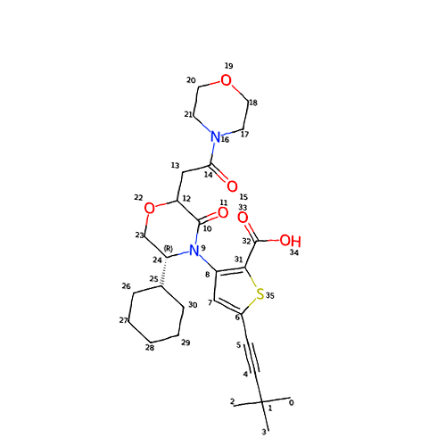 CC(C)(C)C#Cc1cc(N2C(=O)C(CC(=O)N3CCOCC3)OC[C@H]2C2CCCCC2)c(C(=O)O)s1